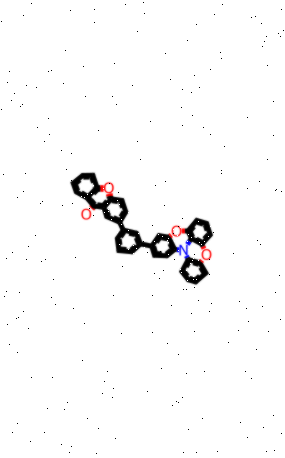 O=c1c2ccccc2oc2ccc(-c3cccc(-c4ccc5c(c4)Oc4cccc6c4N5c4ccccc4O6)c3)cc12